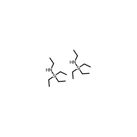 CCN[Si](CC)(CC)CC.CCN[Si](CC)(CC)CC